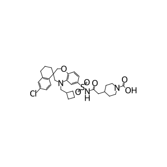 O=C(CC1CCN(C(=O)O)CC1)NS(=O)(=O)c1ccc2c(c1)N(CC1CCC1)CC1(CCCc3cc(Cl)ccc31)CO2